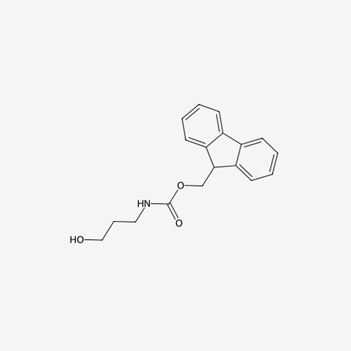 O=C(NCCCO)OCC1c2ccccc2-c2ccccc21